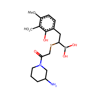 COc1ccc(CC(SCC(=O)N2CCCC(N)C2)B(O)O)c(O)c1C(=O)O